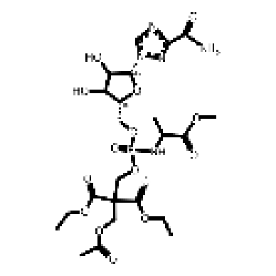 CCOC(=O)C(COC(C)=O)(COP(=O)(NC(C)C(=O)OC)OC[C@H]1O[C@@H](n2cnc(C(N)=O)n2)C(O)C1O)C(=O)OCC